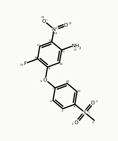 CS(=O)(=O)c1ccc(Oc2cc(N)c([N+](=O)[O-])cc2F)cc1